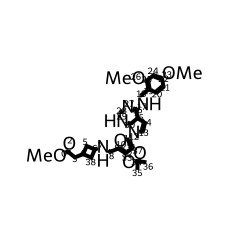 COC(=O)CC1CC(NCc2oc(N3C=CC4C(NCc5ccc(OC)cc5OC)=NCNC43)c3c2OC(C)(C)O3)C1